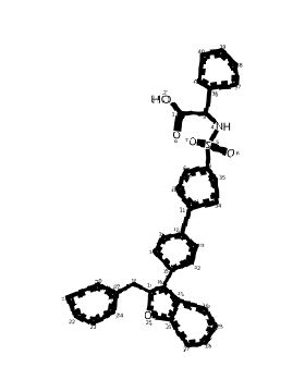 O=C(O)C(NS(=O)(=O)c1ccc(-c2ccc(-c3c(Cc4ccccc4)oc4ccccc34)cc2)cc1)c1ccccc1